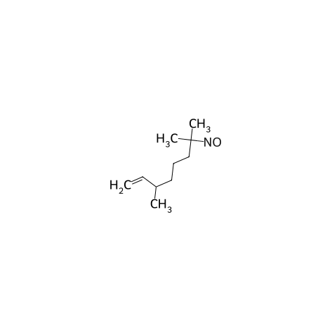 C=CC(C)CCCC(C)(C)N=O